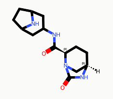 O=C(NC1CC2CCC(C1)N2)[C@H]1CC[C@@H]2CN1C(=O)N2